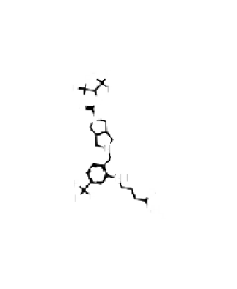 NC(=O)CCCNc1cc(C(F)(F)F)ccc1CN1CC2CN(C(=O)OC(C(F)(F)F)C(F)(F)F)CC2C1